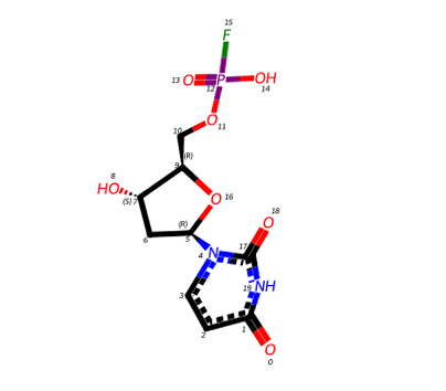 O=c1ccn([C@H]2C[C@H](O)[C@@H](COP(=O)(O)F)O2)c(=O)[nH]1